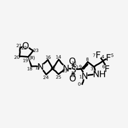 CN1NC(C(F)(F)F)C=C1S(=O)(=O)N1CC2(CN(C[C@H]3CCOC3)C2)C1